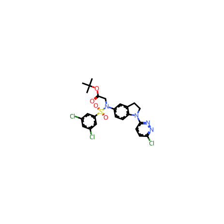 CC(C)(C)OC(=O)CN(c1ccc2c(c1)CCN2c1ccc(Cl)nn1)S(=O)(=O)c1cc(Cl)cc(Cl)c1